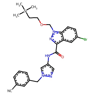 C[Si](C)(C)CCOCn1nc(C(=O)Nc2cnn(Cc3cccc(C#N)c3)c2)c2cc(Br)ccc21